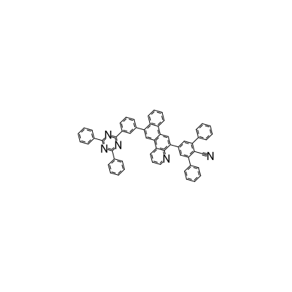 N#Cc1c(-c2ccccc2)cc(-c2cc3c4ccccc4c(-c4cccc(-c5nc(-c6ccccc6)nc(-c6ccccc6)n5)c4)cc3c3cccnc23)cc1-c1ccccc1